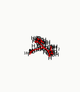 N=C(N)NCCC[C@@H]1NC(=O)[C@H](CCCCNC(=O)CCN(CCC(=O)NCCCC[C@@H]2NC(=O)N(Cc3ccccc3)NC(=O)[C@H](CC(=O)O)NC(=O)CNC(=O)[C@H](CCCNC(=N)N)NC2=O)C(=O)CCOCCOCCOCCOCCNC(=O)Cn2cc(CCC[18F])nn2)NC(=O)N(Cc2ccccc2)NC(=O)[C@H](CC(=O)O)NC(=O)CNC1=O